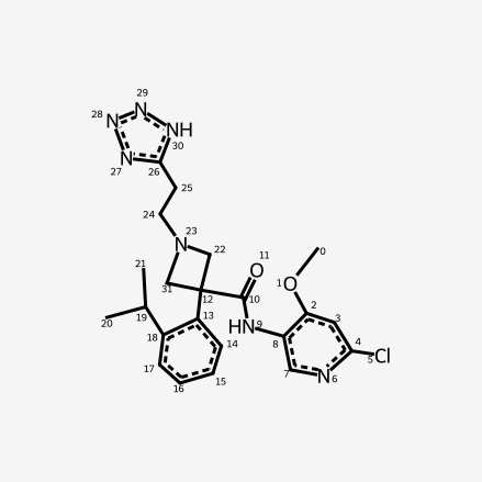 COc1cc(Cl)ncc1NC(=O)C1(c2ccccc2C(C)C)CN(CCc2nnn[nH]2)C1